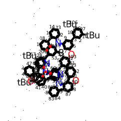 CC(C)(C)c1cc(-c2cc3c4c(c2)N(c2ccccc2-c2ccccc2)c2ccc(-c5cccc(-n6c7ccccc7c7ccc8oc9ccccc9c8c76)n5)cc2B4c2cc(-c4cc(-n5c6ccc(C(C)(C)C)cc6c6cc(C(C)(C)C)ccc65)cc(-n5c6ccccc6c6ccc7oc8ccccc8c7c65)n4)ccc2O3)cc(C(C)(C)C)c1